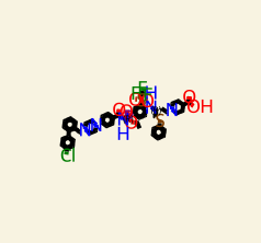 CCO[P@@](=O)(NC(=O)c1ccc(N2CCN(Cc3ccccc3-c3ccc(Cl)cc3)CC2)cc1)c1ccc(N[C@H](CCN2CCC(C(=O)O)CC2)CSc2ccccc2)c(S(=O)(=O)C(F)(F)F)c1